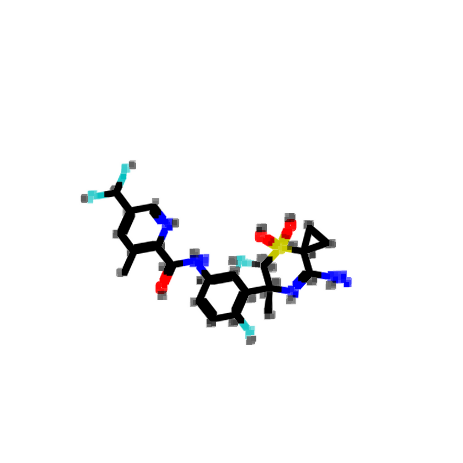 Cc1cc(C(F)F)cnc1C(=O)Nc1ccc(F)c([C@@]2(C)N=C(N)C3(CC3)S(=O)(=O)[C@H]2F)c1